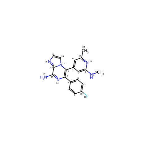 CNc1cc(-c2c(-c3ccc(F)cc3)nc(N)c3nccn23)cc(C)n1